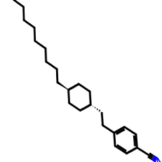 CCCCCCCCC[C@H]1CC[C@H](CCc2ccc(C#N)cc2)CC1